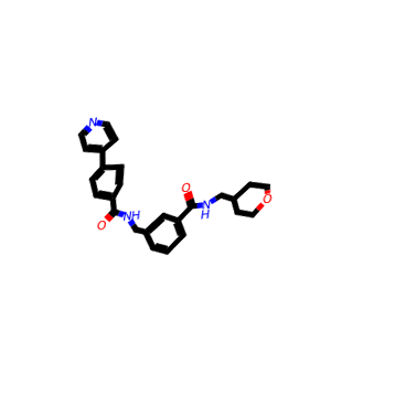 O=C(NCc1cccc(C(=O)NCC2CCOCC2)c1)c1ccc(-c2ccncc2)cc1